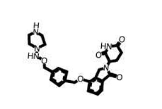 O=C1CCC(N2Cc3c(OCc4ccc(CONN5CCNCC5)cc4)cccc3C2=O)C(=O)N1